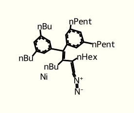 CCCCCCC(=C=[N+]=[N-])C(CCCC)=C(c1cc(CCCC)cc(CCCC)c1)c1cc(CCCCC)cc(CCCCC)c1.[Ni]